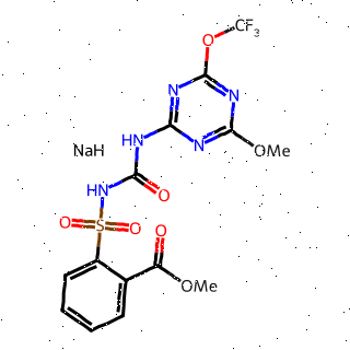 COC(=O)c1ccccc1S(=O)(=O)NC(=O)Nc1nc(OC)nc(OC(F)(F)F)n1.[NaH]